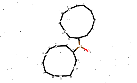 [O-][S+](C1CCCCCCCCCCC1)C1CCCCCCCCCCC1